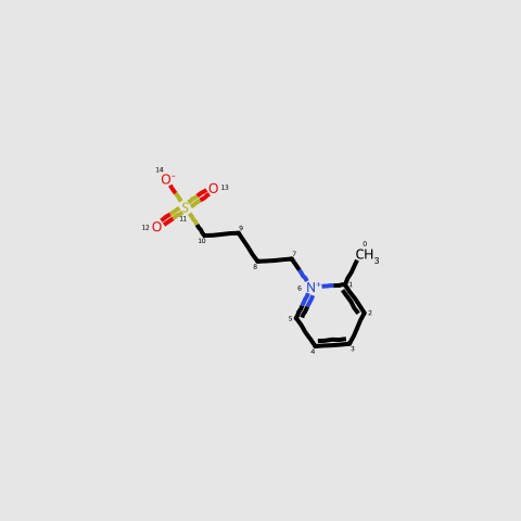 Cc1cccc[n+]1CCCCS(=O)(=O)[O-]